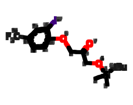 CC(C)(C)[Si](C)(C)OCC(=O)COc1ccc(C(F)(F)F)cc1I